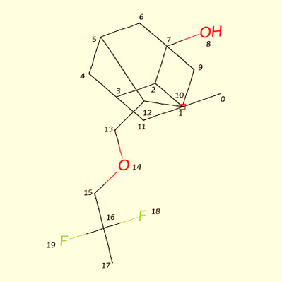 CCC1C2CC3CC1(O)CC(C2)C3COCC(C)(F)F